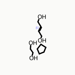 C1CCCC1.OC/C=C/CO.OCCO